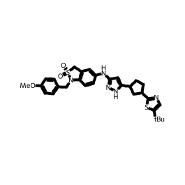 COc1ccc(CN2c3ccc(Nc4cc(C5CCC(c6ncc(C(C)(C)C)s6)C5)[nH]n4)cc3CS2(=O)=O)cc1